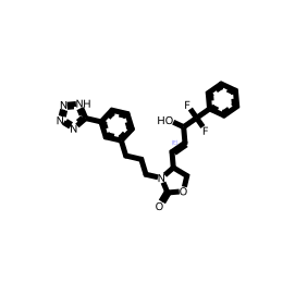 O=C1OCC(/C=C/C(O)C(F)(F)c2ccccc2)N1CCCc1cccc(-c2nnn[nH]2)c1